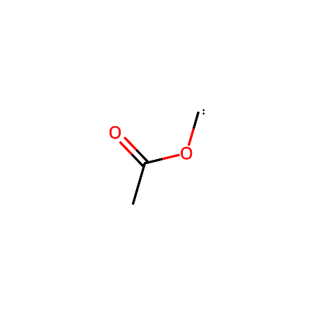 [CH]OC(C)=O